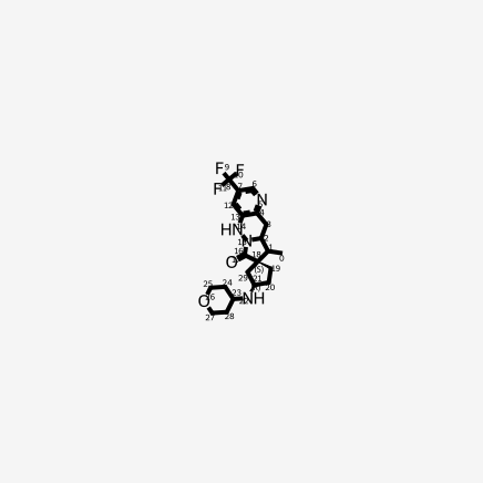 CC1C2Cc3ncc(C(F)(F)F)cc3NN2C(=O)[C@]12CC[C@@H](NC1CCOCC1)C2